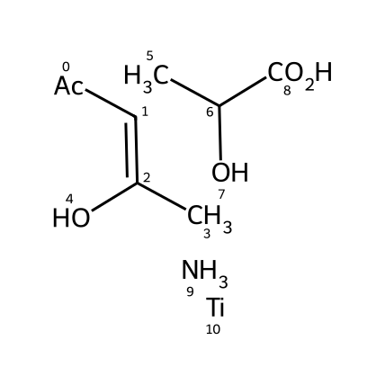 CC(=O)/C=C(/C)O.CC(O)C(=O)O.N.[Ti]